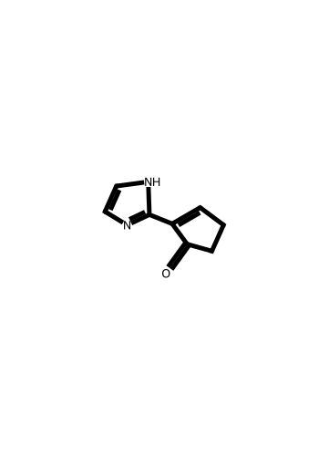 O=C1CCC=C1c1ncc[nH]1